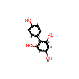 Oc1ccc(-c2c(O)cc(O)cc2O)cc1